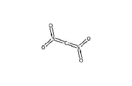 O=S(=O)=C=S(=O)=O